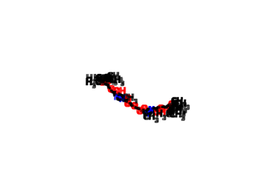 C[N+]1(CC(=O)OCCOCCOC(=O)C[N+]2(C)CCN(CC(O)COCCC[Si](C)(O[Si](C)(C)C)O[Si](C)(C)C)CC2)CCN(CC(O)COCCC[Si](C)(O[Si](C)(C)C)O[Si](C)(C)C)CC1